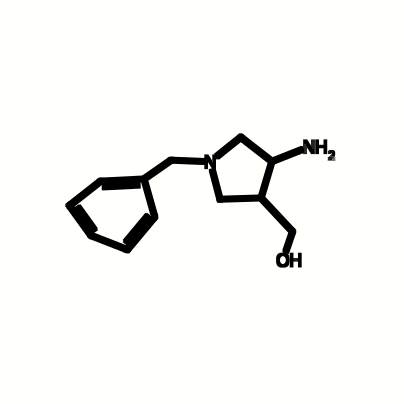 NC1CN(Cc2ccccc2)CC1CO